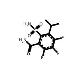 CC(C)c1c(F)c(F)c(F)c(C(N)=O)c1S(N)(=O)=O